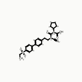 CCS(=O)(=O)c1ccc(-c2ccc(CCN(C#N)C(=O)N(C(=O)O)C3CCCC3)cc2)cc1